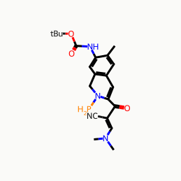 Cc1cc2c(cc1NC(=O)OC(C)(C)C)CN(P)C(C(=O)/C(C#N)=C/N(C)C)=C2